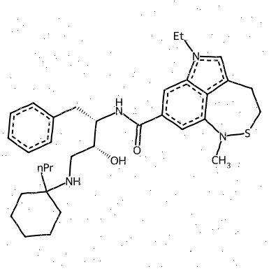 CCCC1(NC[C@@H](O)[C@H](Cc2ccccc2)NC(=O)c2cc3c4c(cn(CC)c4c2)CCSN3C)CCCCC1